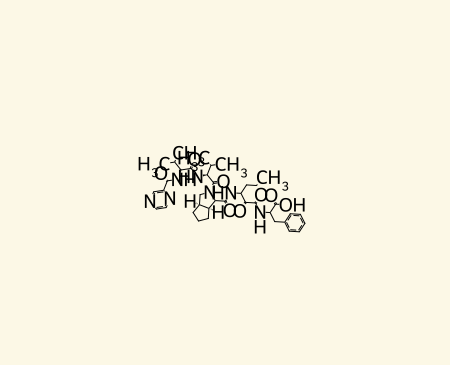 CCCC(NC(=O)C1[C@H]2CCC[C@H]2CN1C(=O)[C@@H](NC(=O)[C@H](NC(=O)c1cnccn1)C(C)C)C(C)C)C(=O)C(=O)NC(Cc1ccccc1)C(=O)O